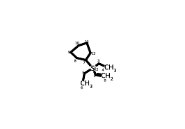 C=C[Si](CC)(CC)C1CCCCC1